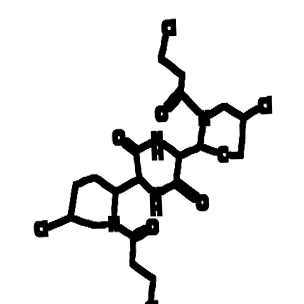 O=C1NC(C2CCC(Cl)CN2C(=O)CCCl)C(=O)NC1C1CCC(Cl)CN1C(=O)CCCl